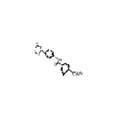 COc1ccc(C(=O)Nc2ccc(C3CNCCO3)cc2)cc1